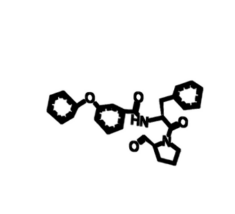 O=C[C@@H]1CCCN1C(=O)[C@H](Cc1ccccc1)NC(=O)c1cccc(Oc2ccccc2)c1